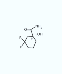 NC(=O)[C@@]1(O)CCCC(F)(F)C1